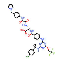 O=C(NC[C@H](NC(=O)c1ccc(Nc2nc(NC3(c4ccc(Cl)cc4)CC3)nc(OCC(F)(F)F)n2)cc1)C(=O)O)C(=O)Nc1ccc(Cn2cccc2)cc1